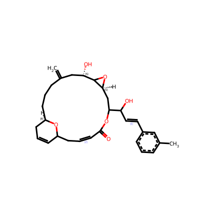 C=C1CCC[C@@H]2CC=CC(C/C=C\C(=O)OC(C(O)/C=C/c3cccc(C)c3)C[C@@H]3OC3[C@@H](O)C1)O2